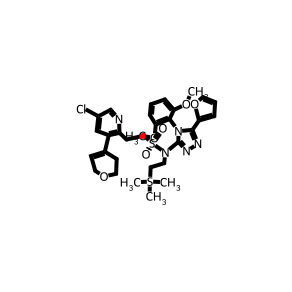 COc1cccc(OC)c1-n1c(-c2ccco2)nnc1N(CCS(C)(C)C)S(=O)(=O)CCc1ncc(Cl)cc1C1=CCOCC1